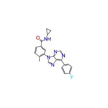 Cc1ccc(C(=O)NC2CC2)cc1-n1cnc2c(-c3ccc(F)cc3)ncnc21